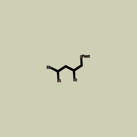 CCCCCCC([CH]C(CC)CC)CC